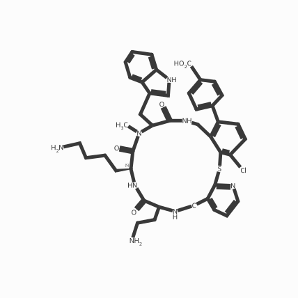 CN1C(=O)[C@H](CCCCN)NC(=O)C(CCN)NCc2cccnc2Sc2c(Cl)ccc(-c3ccc(C(=O)O)cc3)c2CNC(=O)C1Cc1c[nH]c2ccccc12